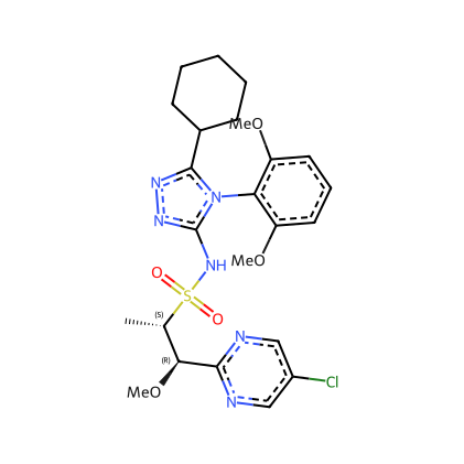 COc1cccc(OC)c1-n1c(NS(=O)(=O)[C@@H](C)[C@H](OC)c2ncc(Cl)cn2)nnc1C1CCCCC1